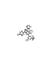 CC(NC(=O)c1cc(Cl)cc(C(F)(F)F)c1)c1nc(-c2ccc(Cl)nc2)nn1-c1ncccn1